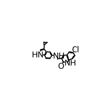 O=c1[nH]c2ccc(Cl)cc2cc1CNc1ccc2[nH]cc(C3CC3)c2c1